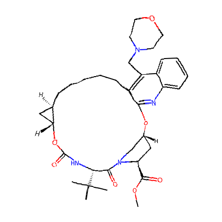 COC(=O)[C@@H]1C[C@@H]2CN1C(=O)[C@H](C(C)(C)C)NC(=O)O[C@@H]1C[C@H]1CCCCCc1c(nc3ccccc3c1CN1CCOCC1)O2